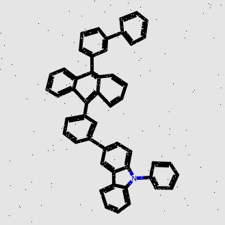 c1ccc(-c2cccc(-c3c4ccccc4c(-c4cccc(-c5ccc6c(c5)c5ccccc5n6-c5ccccc5)c4)c4ccccc34)c2)cc1